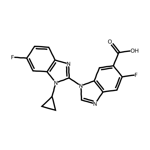 O=C(O)c1cc2c(cc1F)ncn2-c1nc2ccc(F)cc2n1C1CC1